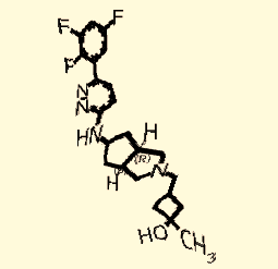 CC1(O)CC(CN2C[C@H]3CC(Nc4ccc(-c5cc(F)cc(F)c5F)nn4)C[C@H]3C2)C1